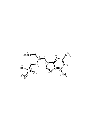 COC[C@@H](Cn1cnc2c(N)nc(N)nc21)OCP(=O)(O)OC